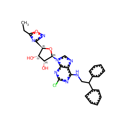 CCc1nc([C@H]2O[C@@H](n3cnc4c(NCC(c5ccccc5)c5ccccc5)nc(Cl)nc43)[C@H](O)[C@@H]2O)no1